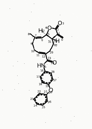 C=C1C(=O)O[C@@H]2/C=C(\C)CC/C=C(/C(=O)Nc3ccc(Oc4ccccc4)cc3)CC[C@@H]12